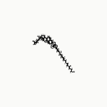 CCCCCCCCCCCCCCCCCCOC(=O)OC1CC[C@@]2(C)C(=CCC3C2CC[C@@]2(C)C3CC[C@@H]2[C@H](C)CCCC(C)C)C1